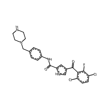 O=C(Nc1ccc(CN2CCNCC2)cc1)c1cc(C(=O)c2c(Cl)ccc(Cl)c2F)c[nH]1